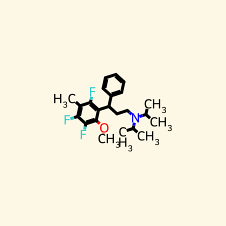 COc1c(F)c(F)c(C)c(F)c1C(CCN(C(C)C)C(C)C)c1ccccc1